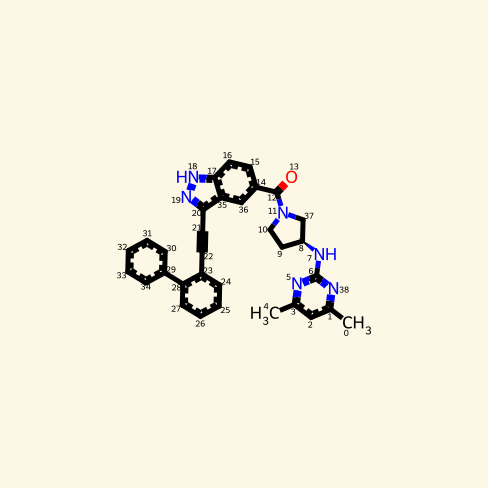 Cc1cc(C)nc(N[C@H]2CCN(C(=O)c3ccc4[nH]nc(C#Cc5ccccc5-c5ccccc5)c4c3)C2)n1